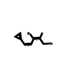 C/C(CC(C)C)=C(Br)/C=C\C1=CC1